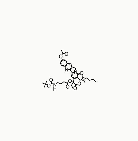 CCCC[Si](C)(C)C1OC(=O)C(CC)(OC(=O)CCCNC(=O)OC(C)(C)C)c2cc3n(c(=O)c21)Cc1cc2cc(OC(C)=O)ccc2nc1-3